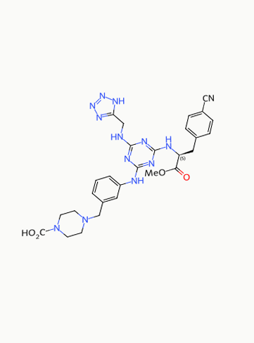 COC(=O)[C@H](Cc1ccc(C#N)cc1)Nc1nc(NCc2nnn[nH]2)nc(Nc2cccc(CN3CCN(C(=O)O)CC3)c2)n1